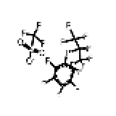 Fc1c(F)c(F)c([I+]C(F)(C(F)(F)F)C(F)(F)F)c(F)c1F.O=S(=O)([O-])C(F)(F)F